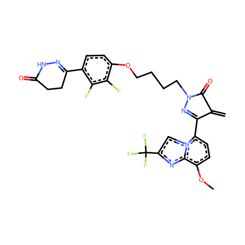 C=C1C(=O)N(CCCCOc2ccc(C3=NNC(=O)CC3)c(F)c2F)N=C1c1ccc(OC)c2nc(C(F)(F)F)cn12